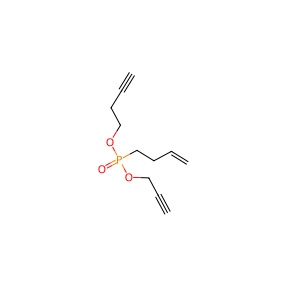 C#CCCOP(=O)(CCC=C)OCC#C